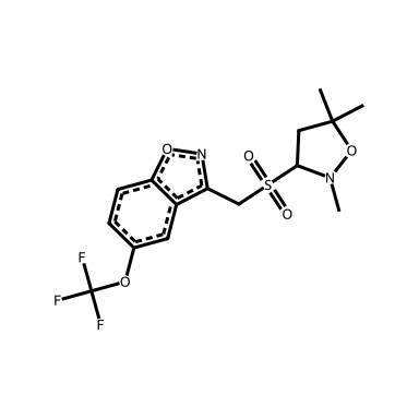 CN1OC(C)(C)CC1S(=O)(=O)Cc1noc2ccc(OC(F)(F)F)cc12